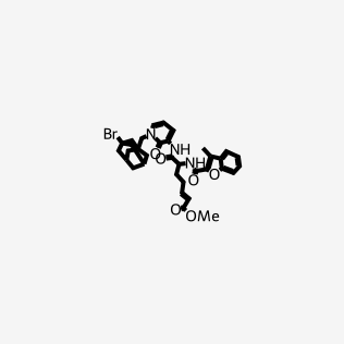 COC(=O)/C=C/CCC(NC(=O)c1oc2ccccc2c1C)C(=O)Nc1cccn(CC23CC4CC(CC(Br)(C4)C2)C3)c1=O